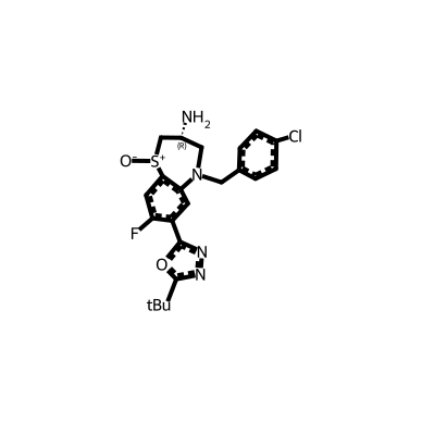 CC(C)(C)c1nnc(-c2cc3c(cc2F)[S+]([O-])C[C@H](N)CN3Cc2ccc(Cl)cc2)o1